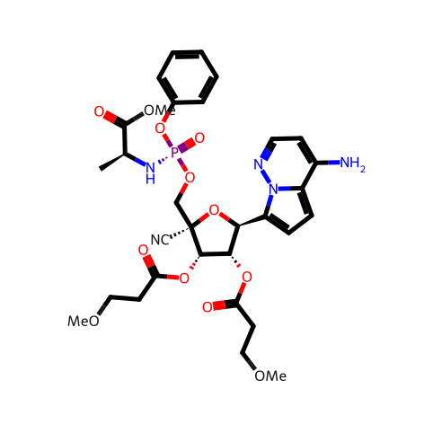 COCCC(=O)O[C@H]1[C@H](c2ccc3c(N)ccnn23)O[C@](C#N)(CO[P@@](=O)(N[C@@H](C)C(=O)OC)Oc2ccccc2)[C@H]1OC(=O)CCOC